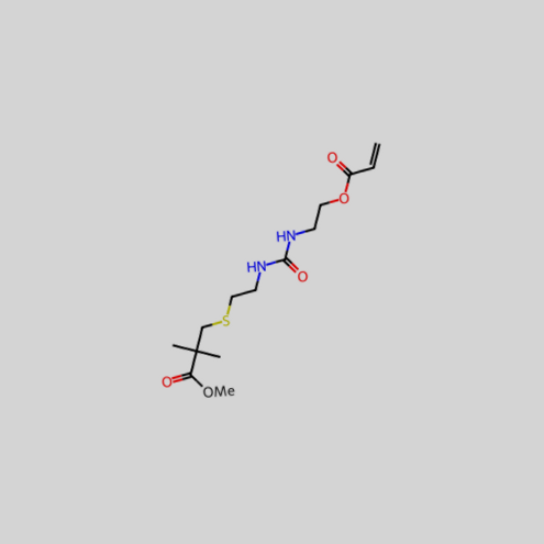 C=CC(=O)OCCNC(=O)NCCSCC(C)(C)C(=O)OC